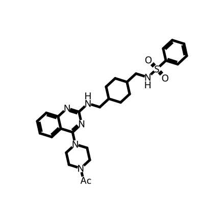 CC(=O)N1CCN(c2nc(NCC3CCC(CNS(=O)(=O)c4ccccc4)CC3)nc3ccccc23)CC1